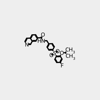 CC(C)Oc1cc(F)ccc1S(=O)(=O)c1ccc(CNC(=O)c2ccc3ccncc3c2)cc1